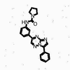 O=C(Nc1cccc(-c2cnn3c(-c4ccccc4)cnc3n2)c1)N1CCCC1